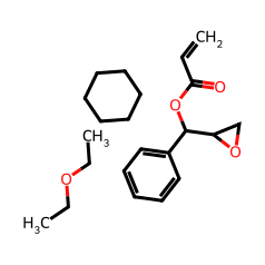 C1CCCCC1.C=CC(=O)OC(c1ccccc1)C1CO1.CCOCC